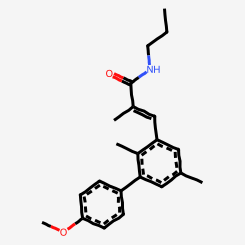 CCCNC(=O)/C(C)=C/c1cc(C)cc(-c2ccc(OC)cc2)c1C